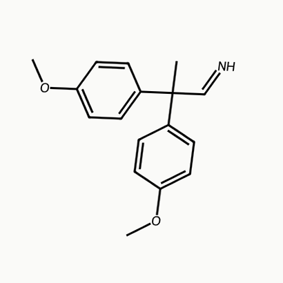 COc1ccc(C(C)(C=N)c2ccc(OC)cc2)cc1